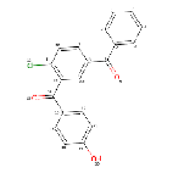 O=C(c1ccccc1)c1ccc(Cl)c(C(=O)c2ccc(O)cc2)c1